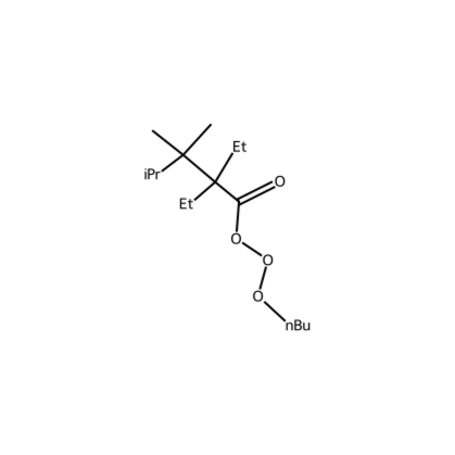 CCCCOOOC(=O)C(CC)(CC)C(C)(C)C(C)C